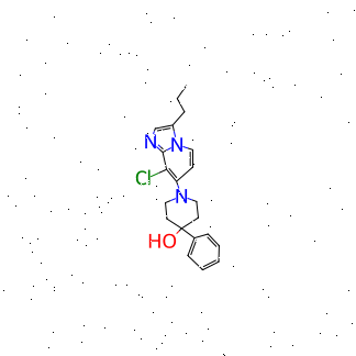 CCCc1cnc2c(Cl)c(N3CCC(O)(c4ccccc4)CC3)ccn12